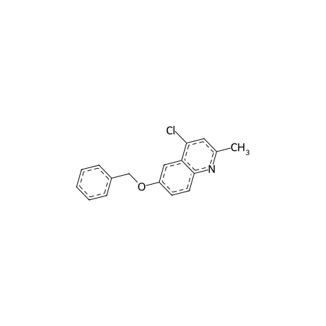 Cc1cc(Cl)c2cc(OCc3ccccc3)ccc2n1